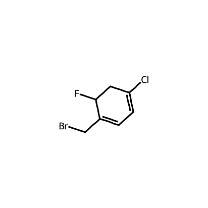 FC1CC(Cl)=CC=C1CBr